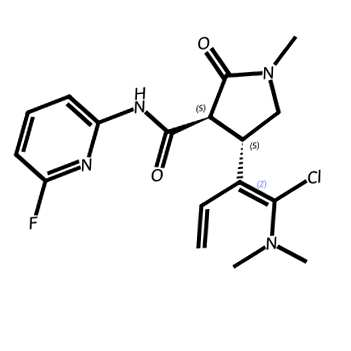 C=C/C(=C(/Cl)N(C)C)[C@H]1CN(C)C(=O)[C@@H]1C(=O)Nc1cccc(F)n1